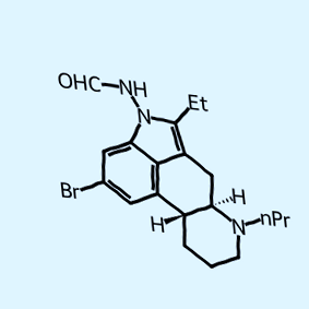 CCCN1CCC[C@@H]2c3cc(Br)cc4c3c(c(CC)n4NC=O)C[C@H]21